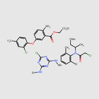 CCNc1nc(Cl)nc(NC(C)(C)C)n1.CCOC(=O)COC(=O)c1cc(Oc2ccc(C(F)(F)F)cc2Cl)ccc1[N+](=O)[O-].CCc1cccc(C)c1N(C(=O)CCl)C(C)COC